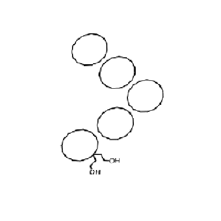 C1CCCCCCCCCCCCCC1.C1CCCCCCCCCCCCCC1.C1CCCCCCCCCCCCCC1.C1CCCCCCCCCCCCCC1.OCCC1(CCO)CCCCCCCCCCCCCC1